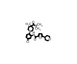 CN(C)C(=O)C1(C)CCN(c2ccc(Cl)cc2NC(=O)c2ccc(C3CCOCC3)o2)CC1